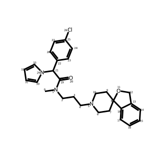 CN(CCCN1CCC2(CC1)OCc1ccccc12)C(=O)C(c1ccc(Cl)cc1)n1cccc1